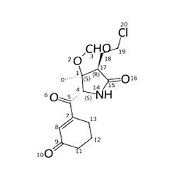 C[C@@]1(OC=O)[C@@H](C(=O)C2=CC(=O)CCC2)NC(=O)[C@@H]1CCCl